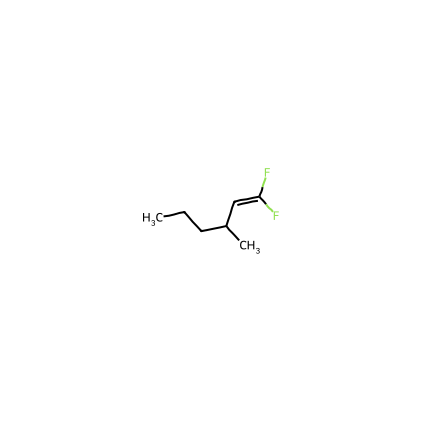 CCCC(C)C=C(F)F